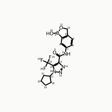 O=C(Nc1ccc2c(c1)B(O)OC2)c1nnn(C2CCCC2)c1C(F)(F)F